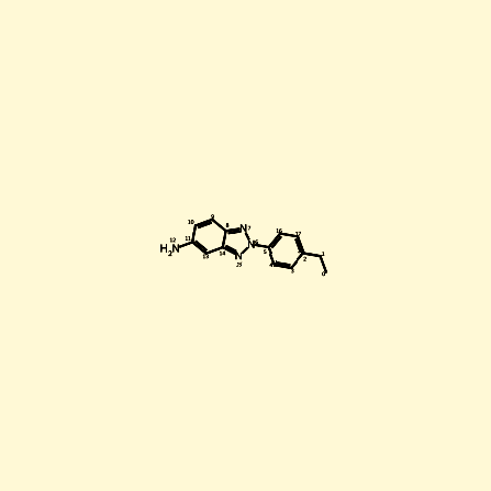 CCc1ccc(-n2nc3ccc(N)cc3n2)cc1